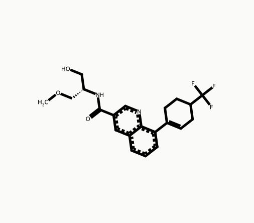 COC[C@H](CO)NC(=O)c1cnc2c(C3=CCC(C(F)(F)F)CC3)cccc2c1